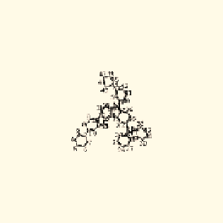 C1=C(c2ccccc2)CCc2c1sc1c2ccc2c1c1cc(-n3c4ccccc4c4ccccc43)ccc1n2-c1cccc(-c2ccccc2)c1